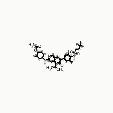 CC(C)n1c(=O)c(-c2cc(F)c(NS(=O)(=O)CCC(F)(F)F)c(F)c2)nc2cnc(NC3CCC(OC(N)=O)C(F)C3)nc21